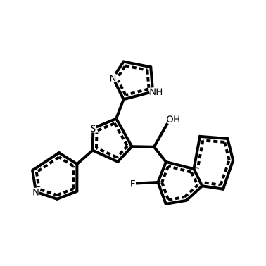 OC(c1cc(-c2ccncc2)sc1-c1ncc[nH]1)c1c(F)ccc2ccccc12